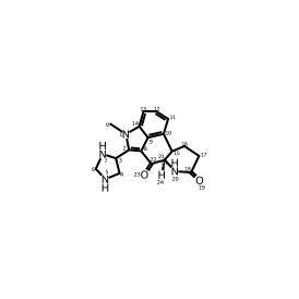 Cn1c(C2CNCN2)c2c3c(cccc31)C1CCC(=O)N[C@@H]1C2=O